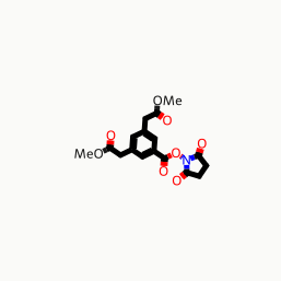 COC(=O)Cc1cc(CC(=O)OC)cc(C(=O)ON2C(=O)CCC2=O)c1